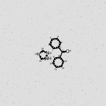 O=C(c1ccccc1)c1ccccc1.c1nc[nH]n1